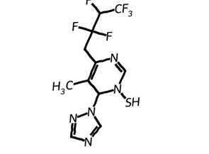 CC1=C(CC(F)(F)C(F)C(F)(F)F)N=CN(S)C1n1cncn1